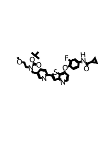 COCCN(Cc1ccc(-c2cc3nccc(Oc4ccc(NC(=O)C5CC5)cc4F)c3s2)nc1)C(=O)OC(C)(C)C